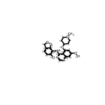 CCOc1cc(OC2CCN(C)CC2)c2c(Nc3c(Cl)ccc4c3OOC4)ncnc2c1